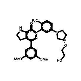 COc1cc(OC)cc(-c2nn(-c3cc(N4CC[C@H](OCCO)C4)ccc3C(F)(F)F)c(=O)c3c2CCN3)c1